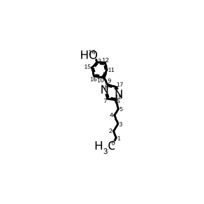 CCCCCCc1cnc(-c2ccc(O)cc2)cn1